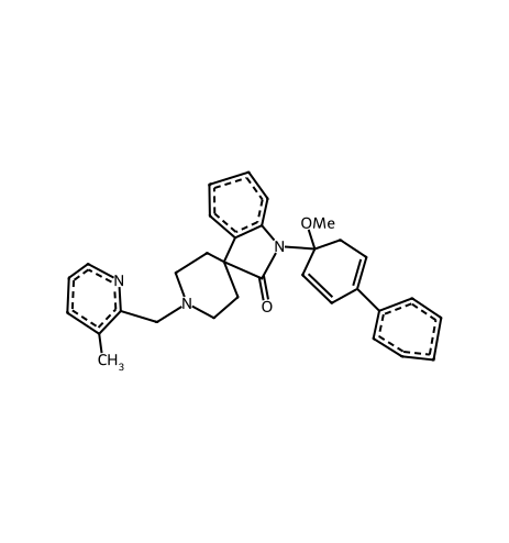 COC1(N2C(=O)C3(CCN(Cc4ncccc4C)CC3)c3ccccc32)C=CC(c2ccccc2)=CC1